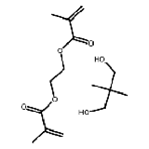 C=C(C)C(=O)OCCOC(=O)C(=C)C.CC(C)(CO)CO